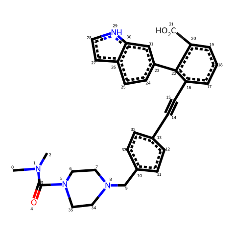 CN(C)C(=O)N1CCN(Cc2ccc(C#Cc3cccc(C(=O)O)c3-c3ccc4cc[nH]c4c3)cc2)CC1